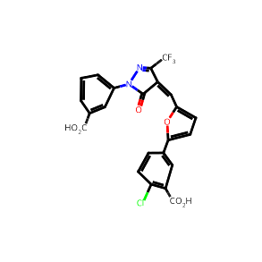 O=C(O)c1cccc(N2N=C(C(F)(F)F)C(=Cc3ccc(-c4ccc(Cl)c(C(=O)O)c4)o3)C2=O)c1